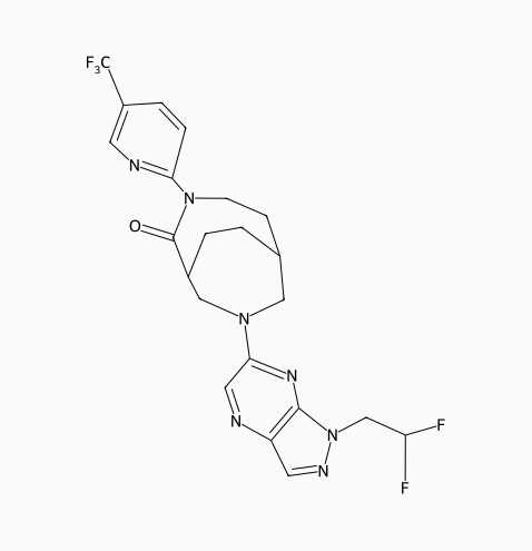 O=C1C2CCC(CCN1c1ccc(C(F)(F)F)cn1)CN(c1cnc3cnn(CC(F)F)c3n1)C2